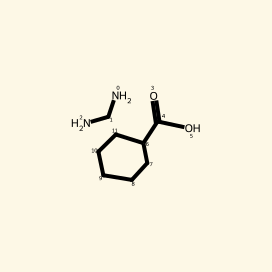 NCN.O=C(O)C1CCCCC1